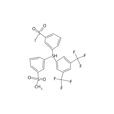 CS(=O)(=O)c1cccc([SH](c2cc(C(F)(F)F)cc(C(F)(F)F)c2)c2cccc(S(=O)(=O)I)c2)c1